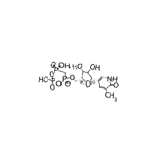 Cc1cc([C@@H]2O[C@H](COP3(=O)CP(=O)(O)OP(=O)(O)O3)C(O)C2O)c[nH]c1=O